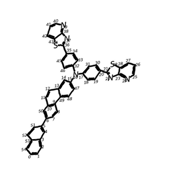 c1ccc2cc(-c3ccc4c(ccc5cc(N(c6ccc(-c7nc8ncccc8s7)cc6)c6ccc(-c7nc8ncccc8s7)cc6)ccc54)c3)ccc2c1